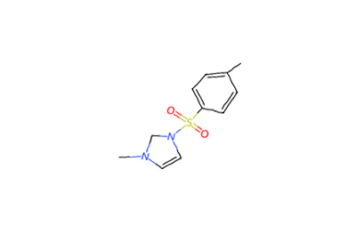 Cc1ccc(S(=O)(=O)N2C=CN(C)C2)cc1